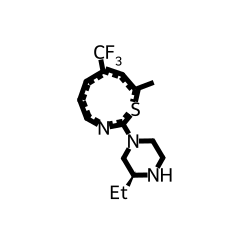 CC[C@H]1CN(c2ncccc(C(F)(F)F)cc(C)s2)CCN1